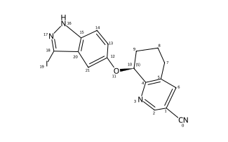 N#Cc1cnc2c(c1)CCC[C@@H]2Oc1ccc2[nH]nc(I)c2c1